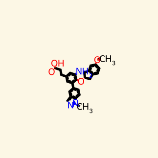 COc1ccc2c(c1)CC(Oc1c(N)cc(CCC(=O)O)cc1-c1ccc3c(cnn3C)c1)C2